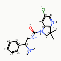 CN(C)C(CNC(=O)N1CC(C)(C)c2ncc(Cl)cc21)c1ccccc1